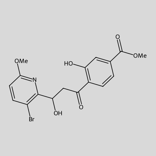 COC(=O)c1ccc(C(=O)CC(O)c2nc(OC)ccc2Br)c(O)c1